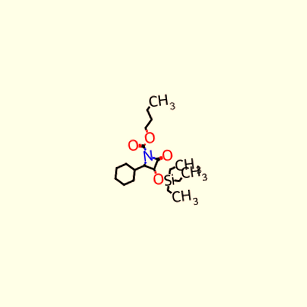 CCCCOC(=O)N1C(=O)C(O[Si](CC)(CC)CC)C1C1CCCCC1